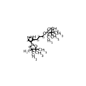 CC1(C)OB(c2cn[nH]c2CCCO[Si](C)(C)C(C)(C)C)OC1(C)C